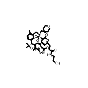 Cc1ccc([C@H](c2ccn3c(C(F)(F)F)nnc3c2C)C(C)(C)C(=O)O)cc1CN1CC2(CCOCC2)Oc2nc(CCC(=O)NCCO)ccc2S1(=O)=O